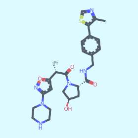 Cc1ncsc1-c1ccc(CNC(=O)[C@@H]2C[C@@H](O)CN2C(=O)[C@H](c2cc(N3CCNCC3)no2)C(C)C)cc1